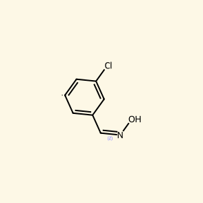 O/N=C\c1c[c]cc(Cl)c1